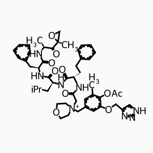 CC(=O)Oc1c(C)cc(C[N+]2(CC(=O)N[C@@H](CCc3ccccc3)C(=O)N[C@@H](CC(C)C)C(=O)N[C@@H](Cc3ccccc3)C(=O)N[C@@H](C)C(=O)[C@@]3(C)CO3)CCOCC2)cc1OCc1c[nH]nn1